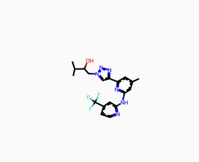 Cc1cc(Nc2cc(C(F)(F)F)ccn2)nc(-c2cn(CC(O)C(C)C)nn2)c1